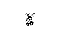 CC(=O)O[C@@H]1[C@@H](OC(C)=O)[C@H](OC(C)=O)CS[C@H]1Oc1cccnc1-c1ccoc1